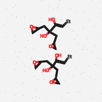 CCC=C(O)C(O)(CC1CO1)CC1CO1.CCC=C(O)C(O)(CC1CO1)CC1CO1